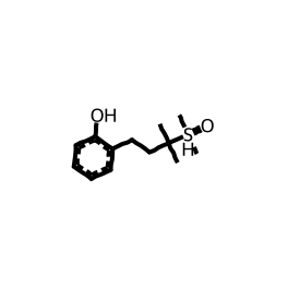 CC(C)(CCc1ccccc1O)[SH](C)(C)=O